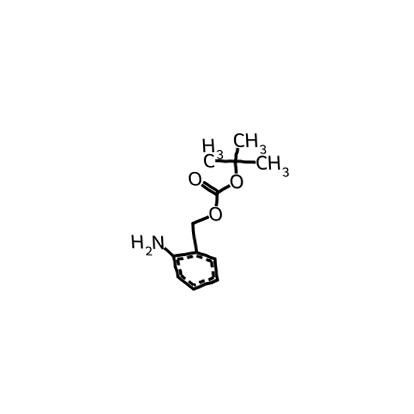 CC(C)(C)OC(=O)OCc1ccccc1N